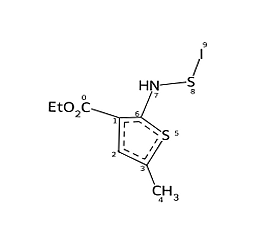 CCOC(=O)c1cc(C)sc1NSI